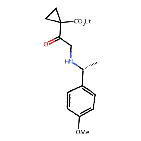 CCOC(=O)C1(C(=O)CN[C@H](C)c2ccc(OC)cc2)CC1